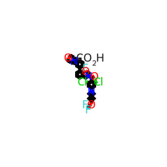 O=C(O)c1cc(F)c(-c2cccc3c2OCN(C(=O)c2c(Cl)cc(N4CC5(CC(OC(F)F)C5)C4)cc2Cl)C3)cc1N1C2CCC1COC2